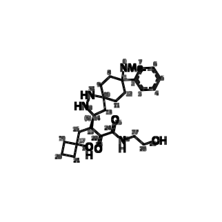 CNC1(c2ccccc2)CCC2(CC1)C[C@@H](C(CC1(O)CCC1)C(=O)C(=O)NCCO)NN2